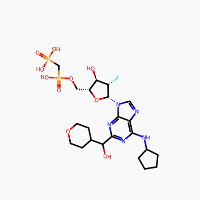 O=P(O)(O)CP(=O)(O)OC[C@H]1O[C@@H](n2cnc3c(NC4CCCC4)nc(C(O)C4CCOCC4)nc32)[C@@H](F)[C@@H]1O